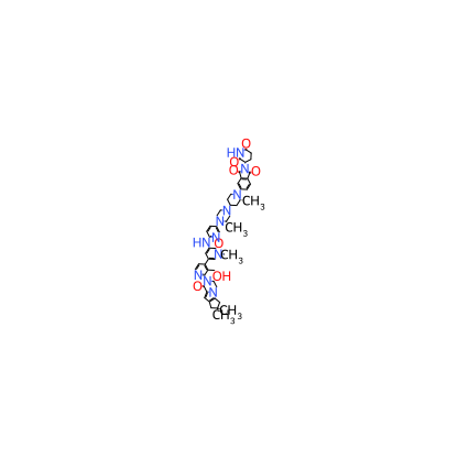 C[C@@H]1C[C@H](N2CCN(c3ccc(Nc4cc(-c5ccnc(N6CCn7c(cc8c7CC(C)(C)C8)C6=O)c5CO)cn(C)c4=O)nc3)[C@@H](C)C2)CCN1c1ccc2c(c1)C(=O)N(C1CCC(=O)NC1=O)C2=O